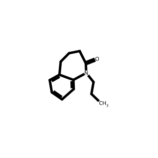 CCCN1C(=O)CCCc2ccccc21